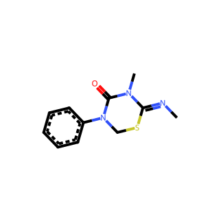 CN=C1SCN(c2ccccc2)C(=O)N1C